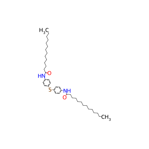 CCCCCCCCCCCCCC(=O)Nc1ccc(Sc2ccc(NC(=O)CCCCCCCCCCCCC)cc2)cc1